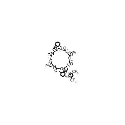 CC(C)C[C@H]1C(=O)O[C@H](Cc2ccc(Cn3nc(C(F)(F)F)cc3C(F)(F)F)cc2)C(=O)N(C)[C@@H](CC(C)C)C(=O)O[C@H](C)C(=O)N(C)[C@@H](CC(C)C)C(=O)O[C@H](Cc2ccccc2)C(=O)N(C)[C@@H](CC(C)C)C(=O)O[C@H](C)C(=O)N1C